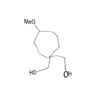 COC1CCC(CO)(CO)CC1